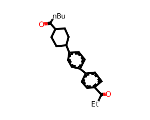 CCCCC(=O)C1CCC(c2ccc(-c3ccc(C(=O)CC)cc3)cc2)CC1